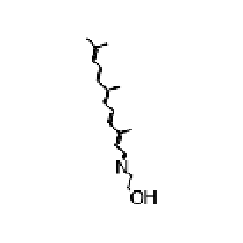 CC(C)=C/C=C/C(C)=C/C=C/C(C)=C/C=N/CCO